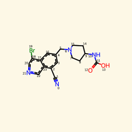 N#Cc1cc(CN2CCC(NC(=O)O)CC2)cc2c(Br)cncc12